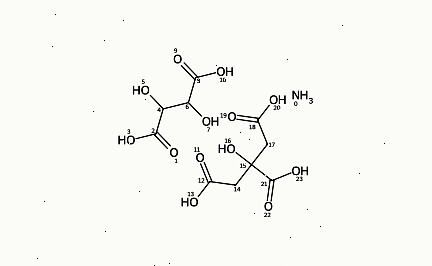 N.O=C(O)C(O)C(O)C(=O)O.O=C(O)CC(O)(CC(=O)O)C(=O)O